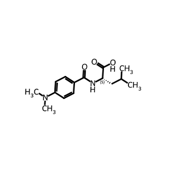 CC(C)C[C@H](NC(=O)c1ccc(N(C)C)cc1)C(=O)O